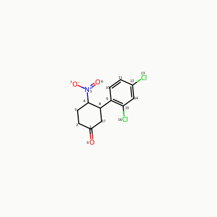 O=C1CCC([N+](=O)[O-])C(c2ccc(Cl)cc2Cl)C1